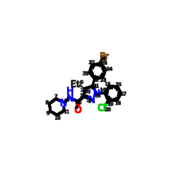 CC[C@H]1C(C(=O)NN2CCCCC2)=NN(c2ccccc2Cl)[C@@H]1c1ccc(Br)cc1